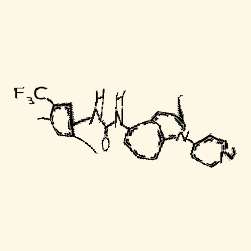 Cc1cc(C)c(C(F)(F)F)cc1NC(=O)Nc1cccc2c1cc(C)n2-c1ccncc1